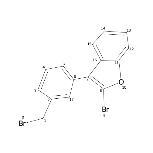 BrCc1cccc(-c2c(Br)oc3ccccc23)c1